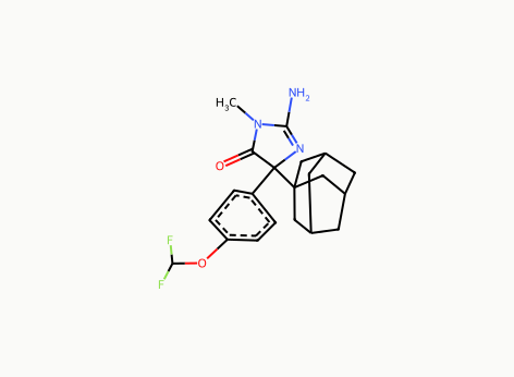 CN1C(=O)C(c2ccc(OC(F)F)cc2)(C23CC4CC(CC(C4)C2)C3)N=C1N